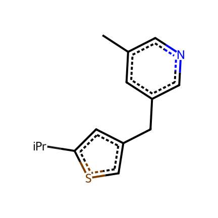 Cc1cncc(Cc2csc(C(C)C)c2)c1